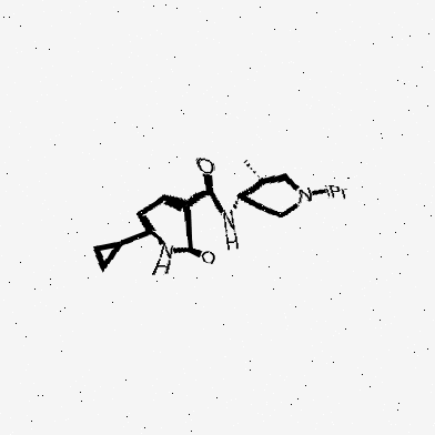 CC(C)N1C[C@@H](C)[C@@H](NC(=O)c2ccc(C3CC3)[nH]c2=O)C1